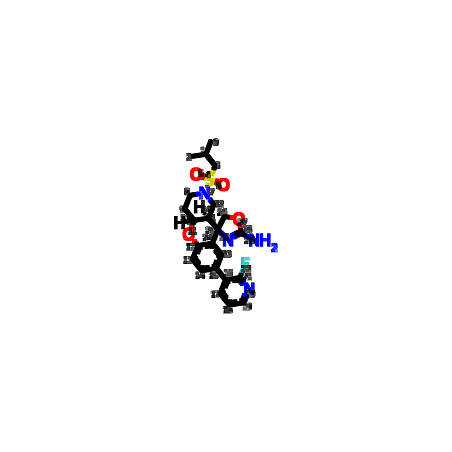 CC(C)CS(=O)(=O)N1CC[C@H]2Oc3ccc(-c4cccnc4F)cc3C3(COC(N)=N3)[C@@H]2C1